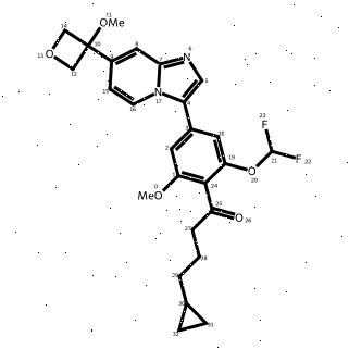 COc1cc(-c2cnc3cc(C4(OC)COC4)ccn23)cc(OC(F)F)c1C(=O)CCCC1CC1